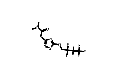 CN(C)C(=O)Sc1nsc(OCC(F)(F)C(F)(F)C(F)(F)F)n1